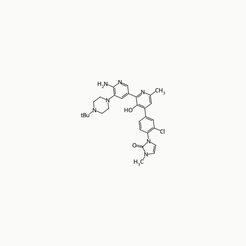 Cc1cc(-c2ccc(-n3ccn(C)c3=O)c(Cl)c2)c(O)c(-c2cnc(N)c(N3CCN(C(C)(C)C)CC3)c2)n1